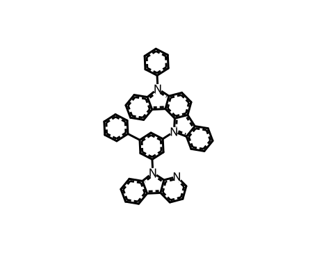 c1ccc(-c2cc(-n3c4ccccc4c4cccnc43)cc(-n3c4ccccc4c4ccc5c(c6ccccc6n5-c5ccccc5)c43)c2)cc1